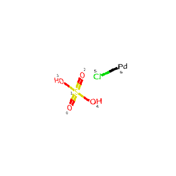 O=S(=O)(O)O.[Cl][Pd]